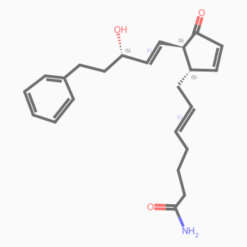 NC(=O)CCC/C=C/C[C@H]1C=CC(=O)[C@@H]1/C=C/[C@@H](O)CCc1ccccc1